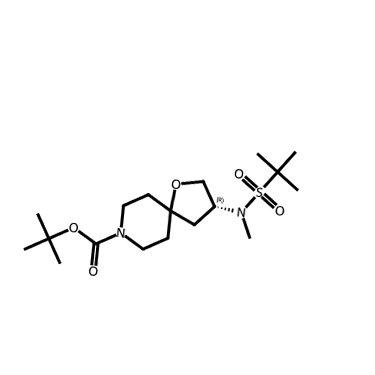 CN([C@H]1COC2(CCN(C(=O)OC(C)(C)C)CC2)C1)S(=O)(=O)C(C)(C)C